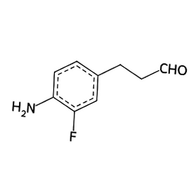 Nc1ccc(CCC=O)cc1F